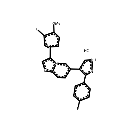 COc1ccc(-c2cnc3ccc(-c4c[nH]nc4-c4ccc(F)cc4)cn23)cc1F.Cl